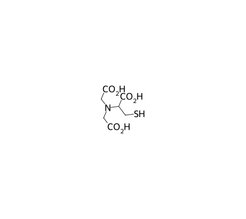 O=C(O)CN(CC(=O)O)C(CS)C(=O)O